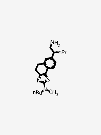 CCCCN(C)c1nc2c(s1)-c1ccc(C(CN)CCC)cc1CC2